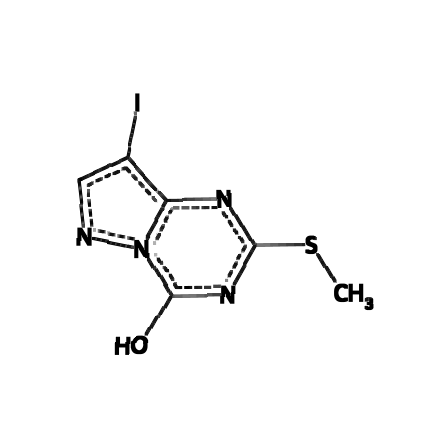 CSc1nc(O)n2ncc(I)c2n1